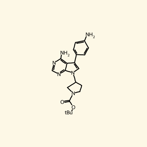 CC(C)(C)OC(=O)N1CCC(n2cc(-c3ccc(N)cc3)c3c(N)ncnc32)C1